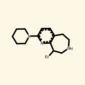 CCC1CNCCc2ccc(N3CCCCC3)nc21